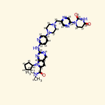 CN(C)C(=O)c1cc2cnc(Nc3ccc(N4CCN(Cc5cnc(N6CCC(=O)NC6=O)cn5)CC4)cn3)nc2n1C1CCCC1